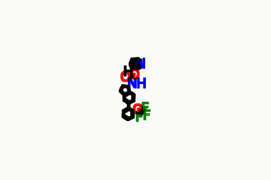 O=C(NC1CCc2cc(-c3ccccc3OC(F)(F)F)ccc21)O[C@H]1CN2CCC1CC2